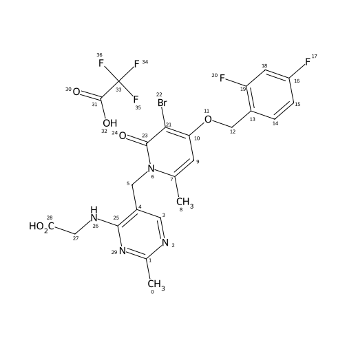 Cc1ncc(Cn2c(C)cc(OCc3ccc(F)cc3F)c(Br)c2=O)c(NCC(=O)O)n1.O=C(O)C(F)(F)F